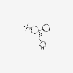 CC(C)(C)N1CCC(OCn2ccnc2)(c2ccccc2)CC1